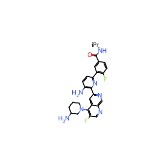 CC(C)NC(=O)c1ccc(F)c(-c2ccc(N)c(-c3cc4c(N5CCCC(N)C5)c(F)cnc4cn3)n2)c1